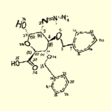 [N-]=[N+]=N[C@@H]1[C@@H](OCc2ccccc2)[C@H](OCc2ccccc2)[C@@H](C(=O)O)O[C@@H]1O